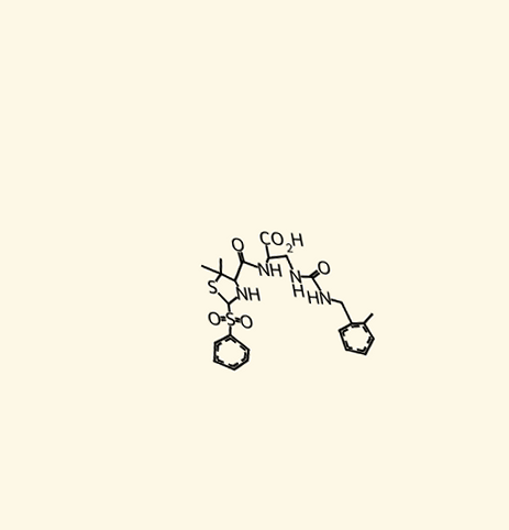 Cc1ccccc1CNC(=O)NCC(NC(=O)C1NC(S(=O)(=O)c2ccccc2)SC1(C)C)C(=O)O